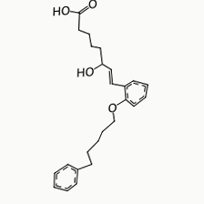 O=C(O)CCCCC(O)C=Cc1ccccc1OCCCCCc1ccccc1